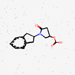 O=C(O)OC1CC(=O)N(C2Cc3ccccc3C2)C1